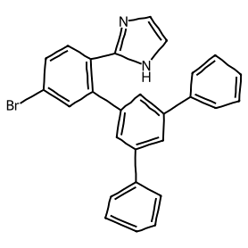 Brc1ccc(-c2ncc[nH]2)c(-c2cc(-c3ccccc3)cc(-c3ccccc3)c2)c1